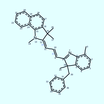 Cc1cccc2c1N=C(/C=C/C=C1/N(C)c3c(ccc4ccccc34)C1(C)C)C2(C)Cc1ccccc1